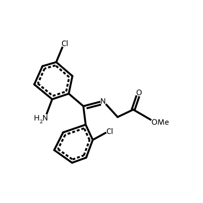 COC(=O)CN=C(c1cc(Cl)ccc1N)c1ccccc1Cl